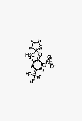 CC1(Oc2ccc(C(F)(F)F)cc2[N+](=O)[O-])CC=CS1